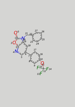 O=c1oc2ncc(-c3ccc(OC(F)(F)F)cc3)cc2n1Cc1ccccc1